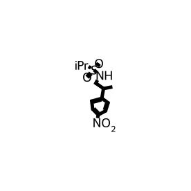 CC(CNS(=O)(=O)C(C)C)c1ccc([N+](=O)[O-])cc1